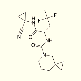 CC(F)(F)C[C@H](NC(=O)N1CCCC2(CC2)C1)C(=O)NC1(C#N)CC1